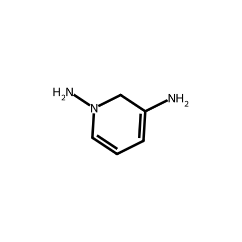 NC1=CC=CN(N)C1